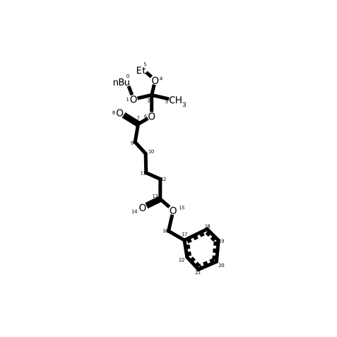 CCCCOC(C)(OCC)OC(=O)CCCCC(=O)OCc1ccccc1